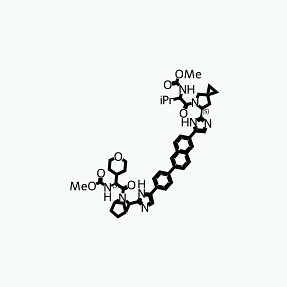 COC(=O)NC(C(=O)N1CC2(CC2)C[C@H]1c1ncc(-c2ccc3cc(-c4ccc(-c5cnc(C6C7CCC(C7)N6C(=O)[C@@H](NC(=O)OC)C6CCOCC6)[nH]5)cc4)ccc3c2)[nH]1)C(C)C